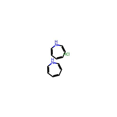 C1=CC=CNC=C1.C1=CC=CNC=C1.Cl